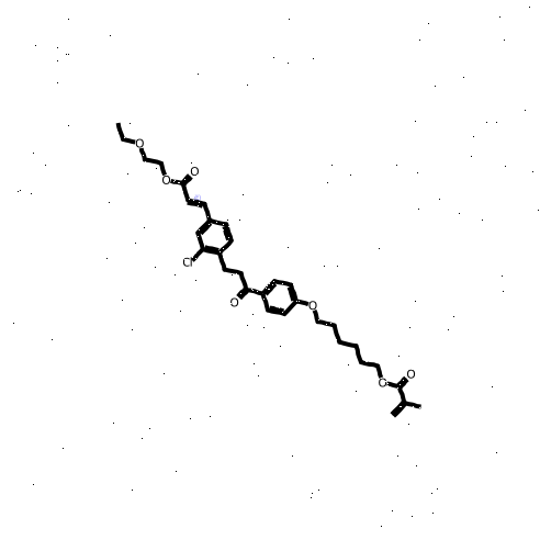 C=C(C)C(=O)OCCCCCCOc1ccc(C(=O)CCc2ccc(/C=C/C(=O)OCCOCC)cc2Cl)cc1